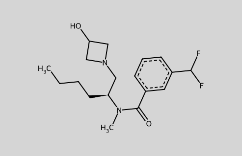 CCCC[C@@H](CN1CC(O)C1)N(C)C(=O)c1cccc(C(F)F)c1